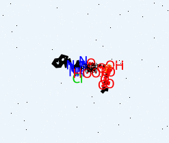 CC(C)OC(=O)OCOP(=O)(O)COC[C@H]1O[C@@H](n2ncc3c(N4CC5(CCc6ccccc65)C4)nc(Cl)nc32)[C@H](O)[C@@H]1O